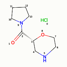 Cl.O=C([C@H]1CNCCO1)N1CCCC1